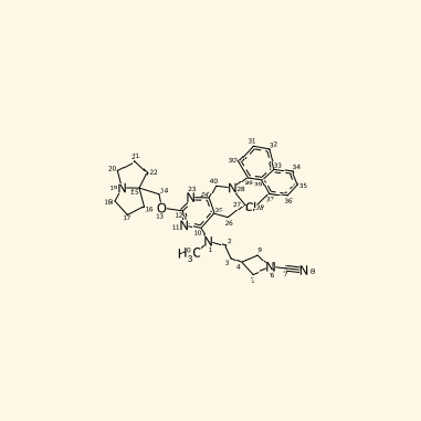 CN(CCC1CN(C#N)C1)c1nc(OCC23CCCN2CCC3)nc2c1CCN(c1cccc3cccc(Cl)c13)C2